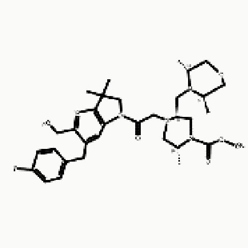 C[C@@H]1CN(CC(=O)N2CC(C)(C)c3nc(CO)c(Cc4ccc(F)cc4)cc32)[C@@H](CN2[C@H](C)COC[C@H]2C)CN1C(=O)OC(C)(C)C